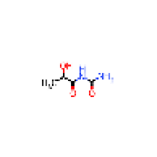 CC(O)C(=O)NC(N)=O